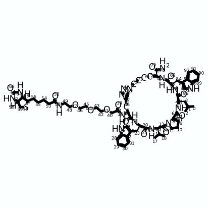 CC(C)C[C@H]1NC(=O)[C@H]2CCCN2C(=O)[C@@H](C(C)C)NC(=O)[C@@H](Cc2c[nH]c3ccccc23)NC(=O)[C@@H](NC(=O)COCCOCCOCCNC(=O)CCCCC2SC[C@H]3NC(=O)N[C@@H]23)Cc2cn(nn2)CCCC[C@@H](C(N)=O)NC(=O)[C@@H](Cc2c[nH]c3ccccc23)NC1=O